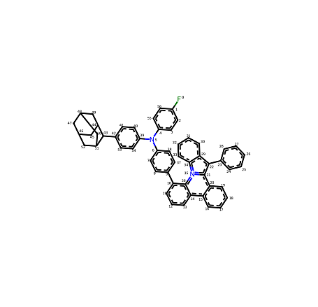 Fc1ccc(N(c2ccc(-c3cccc4c5ccccc5c5c(-c6ccccc6)c6ccccc6n5c34)cc2)c2ccc(C3C4CC5CC(C4)CC3C5)cc2)cc1